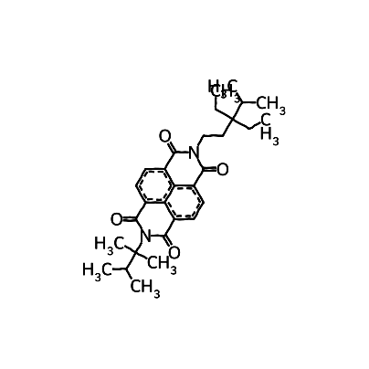 CCC(CC)(CCN1C(=O)c2ccc3c4c(ccc(c24)C1=O)C(=O)N(C(C)(C)C(C)C)C3=O)C(C)C